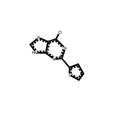 Clc1nc(-c2cccs2)nc2[nH]cnc12